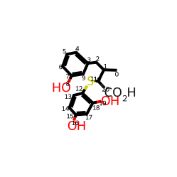 CC(Cc1cccc(O)c1)C(Sc1ccc(O)cc1O)C(=O)O